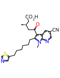 C[C@@H](CC(=O)O)CC(=O)c1c(CCCCCCc2cncs2)n(C)c2ncc(C#N)cc12